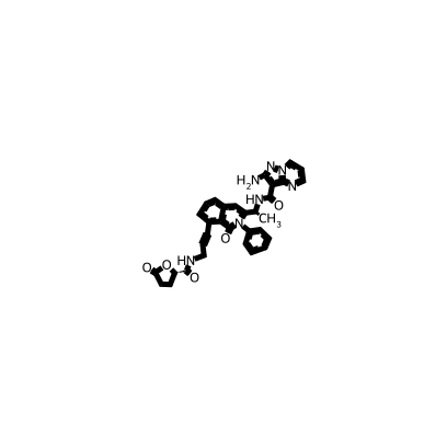 C[C@H](NC(=O)c1c(N)nn2cccnc12)c1cc2cccc(C#CCNC(=O)[C@@H]3CCC(=O)O3)c2c(=O)n1-c1ccccc1